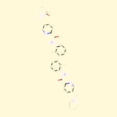 Cc1c(NC(=O)c2ccc(CN3CCOC3=O)cn2)cccc1-c1cccc(NC(=O)c2ccc(CN3CCCC3)cn2)c1Cl